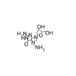 NCN1CN([C@H]2C[C@H](O)[C@@H](CO)O2)c2nc(N)[nH]c(=O)c21